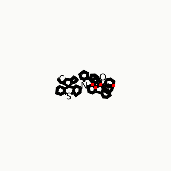 c1ccc(-c2ccc(-c3ccccc3N(c3ccc4c(c3)C3(c5ccccc5S4)c4ccccc4-c4ccccc43)c3ccc4c(c3)C3(c5ccccc5Oc5ccccc53)c3ccccc3-4)cc2)cc1